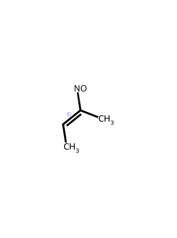 C/C=C(\C)N=O